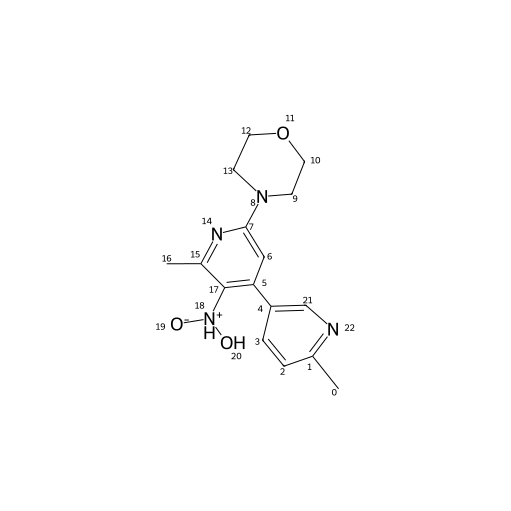 Cc1ccc(-c2cc(N3CCOCC3)nc(C)c2[NH+]([O-])O)cn1